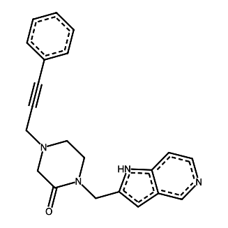 O=C1CN(CC#Cc2ccccc2)CCN1Cc1cc2cnccc2[nH]1